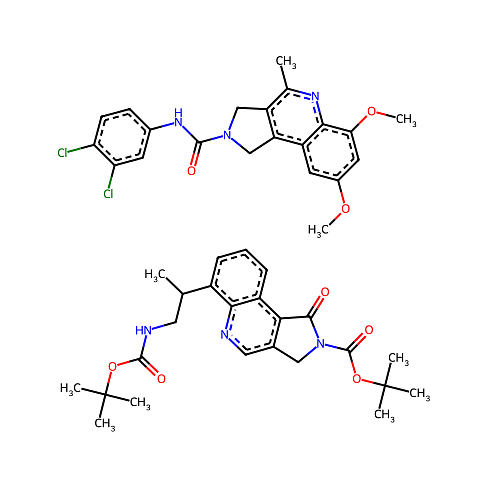 CC(CNC(=O)OC(C)(C)C)c1cccc2c3c(cnc12)CN(C(=O)OC(C)(C)C)C3=O.COc1cc(OC)c2nc(C)c3c(c2c1)CN(C(=O)Nc1ccc(Cl)c(Cl)c1)C3